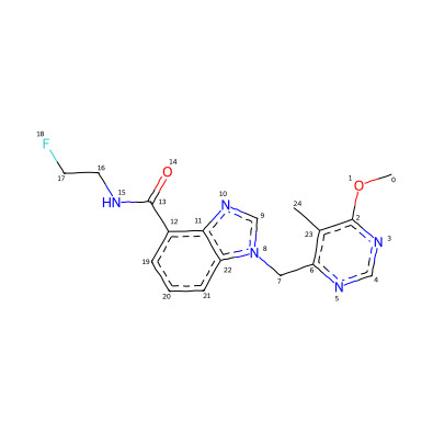 COc1ncnc(Cn2cnc3c(C(=O)NCCF)cccc32)c1C